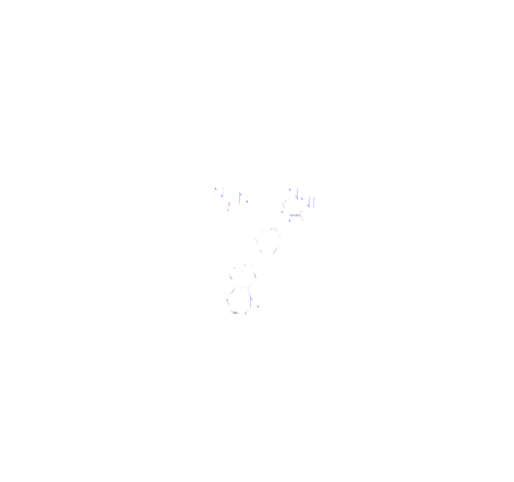 O=C(N1CCOCC1)N1CCC(c2n[nH]c(=O)n2-c2ccc(-c3ccc4cccnc4c3)cc2)C1